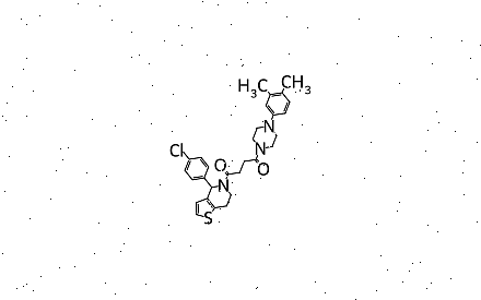 Cc1ccc(N2CCN(C(=O)CCC(=O)N3CCc4sccc4C3c3ccc(Cl)cc3)CC2)cc1C